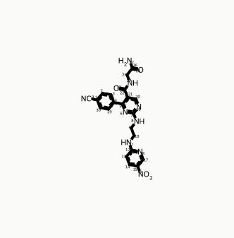 N#Cc1ccc(-c2nc(NCCNc3ccc([N+](=O)[O-])cn3)ncc2C(=O)NCC(N)=O)cc1